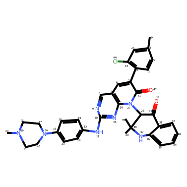 Cc1ccc(-c2cc3cnc(Nc4ccc(N5CCN(C)CC5)cc4)nc3n(C3C(=O)c4ccccc4NC3(C)C)c2=O)c(Cl)c1